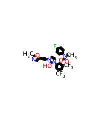 Cc1ncc(C#CN2C=CN(c3cc(C(F)(F)F)cc(C(F)(F)F)c3OC(=O)N(C)c3ccc(F)cc3)C2O)o1